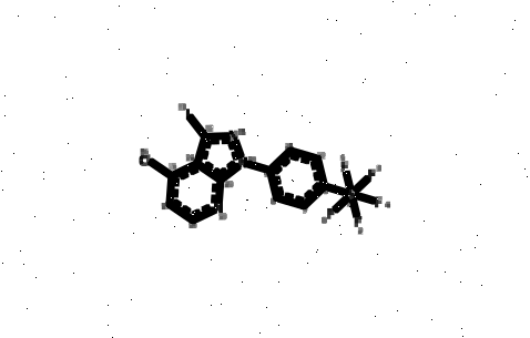 FS(F)(F)(F)(F)c1ccc(-n2nc(I)c3c(Cl)ccnc32)cc1